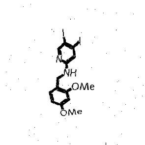 COc1ccc(CNc2cc(I)c(I)cn2)c(OC)c1